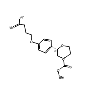 CCCC(=N)CCCOc1ccc([C@H]2CN(C(=O)OC(C)(C)C)CCO2)cc1